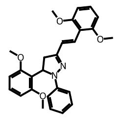 COc1cccc(OC)c1C=CC1=NN(c2ccccc2)C(c2c(OC)cccc2OC)C1